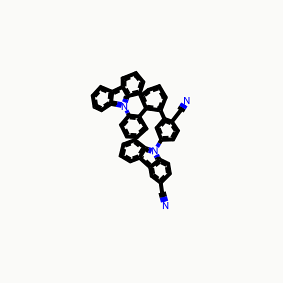 N#Cc1ccc2c(c1)c1ccccc1n2-c1ccc(C#N)c(-c2ccccc2-c2ccccc2-n2c3ccccc3c3ccccc32)c1